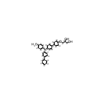 Cc1ccc(N(c2ccc(-c3ccccc3)cc2)c2ccc(-c3ccc(OCC(O)CO)cc3)cc2)cc1